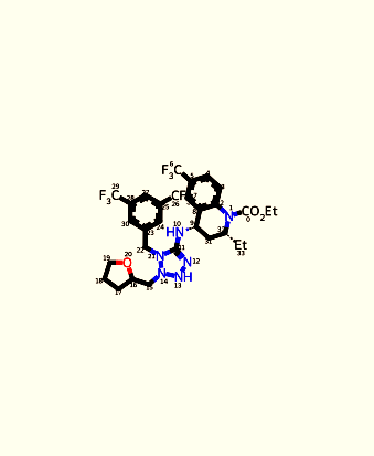 CCOC(=O)N1c2ccc(C(F)(F)F)cc2[C@@H](NC2=NNN(CC3CCCO3)N2Cc2cc(C(F)(F)F)cc(C(F)(F)F)c2)C[C@H]1CC